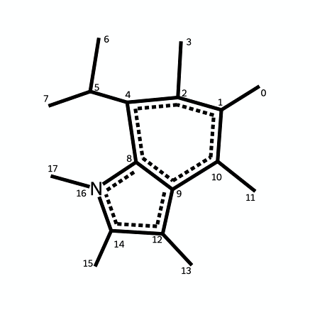 Cc1c(C)c(C(C)C)c2c(c1C)c(C)c(C)n2C